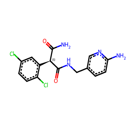 NC(=O)[C@@H](C(=O)NCc1ccc(N)nc1)c1cc(Cl)ccc1Cl